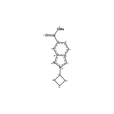 COC(=O)c1ccc2cn(C3CCC3)nc2c1